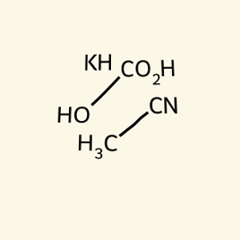 CC#N.O=C(O)O.[KH]